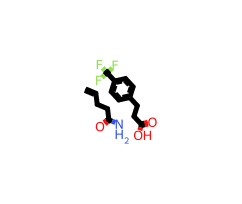 C=CCCC(N)=O.O=C(O)CCc1ccc(C(F)(F)F)cc1